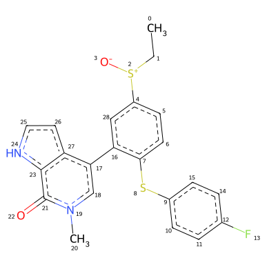 CC[S+]([O-])c1ccc(Sc2ccc(F)cc2)c(-c2cn(C)c(=O)c3[nH]ccc23)c1